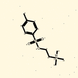 Cc1ccc(S(=O)(=O)OCC[PH](C)(C)C)cc1